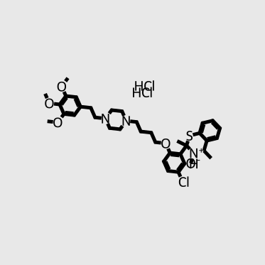 COc1cc(CCN2CCN(CCCCOc3ccc(Cl)cc3C3(C)Sc4ccccc4C(C)[NH+]3[O-])CC2)cc(OC)c1OC.Cl.Cl